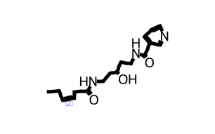 CC/C=C\CC(=O)NCCC(O)CCNC(=O)c1cccnc1